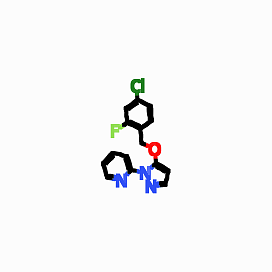 Fc1cc(Cl)ccc1COc1ccnn1-c1ccccn1